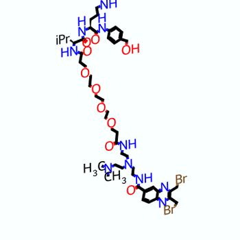 CC(C)[C@H](NC(=O)CCOCCOCCOCCOCCC(=O)NCCN(CCNC(=O)c1ccc2nc(CBr)c(CBr)nc2c1)CCN(C)C)C(=O)N[C@@H](CCCNC(N)=O)C(=O)Nc1ccc(CO)cc1